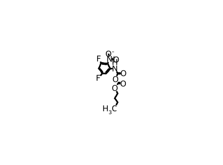 CCCCOC(=O)OC(=O)Nc1cc(F)cc(F)c1[N+](=O)[O-]